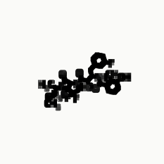 COCC(C)N1C(=O)C2N(C(=O)C(O)C(Cc3cccc(F)c3)NC(=O)c3cccc(O)c3C)CC(F)(F)C21C